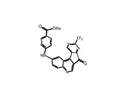 COC(=O)c1ccc(Nc2ccc3ncc4c(c3c2)-c2cnc(C(F)(F)F)nc2C4=O)cc1